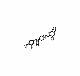 CC1=C2COC=C2CC(=O)C1CCN1CCC(NCc2ccc(C#N)c(F)c2)CC1